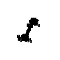 CN[C@@H](C)C(=O)N[C@H](C(=O)N1Cc2cc(OCCOCCOCCOCCOCCC(=O)NCCn3nc4c(c3C#N)-c3cnc(N)c(n3)N3CCC[C@@H]3c3cc(F)ccc3C(=O)N(C)C4)ccc2C[C@H]1C(N)=O)C(C)(C)C